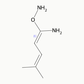 CC(C)=C/C=C(\N)ON